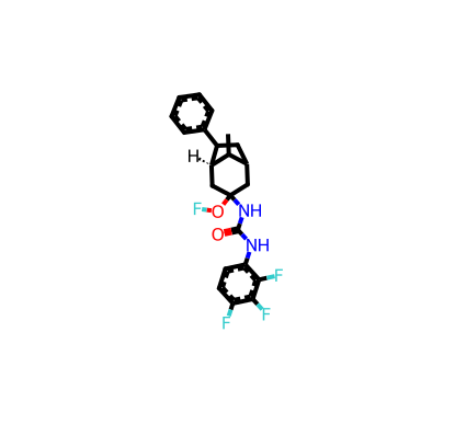 CC1C2CC(c3ccccc3)[C@@H]1CC(NC(=O)Nc1ccc(F)c(F)c1F)(OF)C2